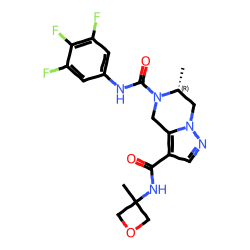 C[C@@H]1Cn2ncc(C(=O)NC3(C)COC3)c2CN1C(=O)Nc1cc(F)c(F)c(F)c1